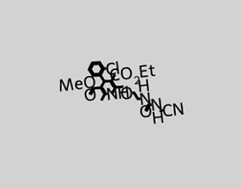 CCOC(=O)C1=C(COCCNC(=O)NCC#N)NC(C)=C(C(=O)OC)C1c1ccccc1Cl